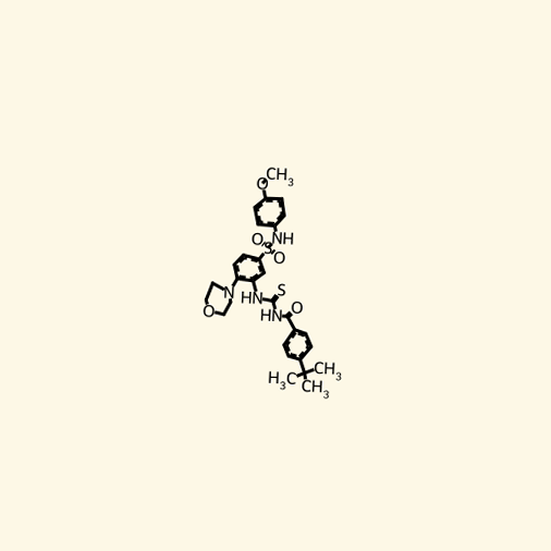 COc1ccc(NS(=O)(=O)c2ccc(N3CCOCC3)c(NC(=S)NC(=O)c3ccc(C(C)(C)C)cc3)c2)cc1